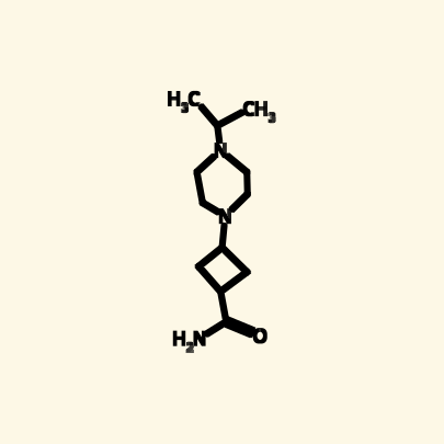 CC(C)N1CCN(C2CC(C(N)=O)C2)CC1